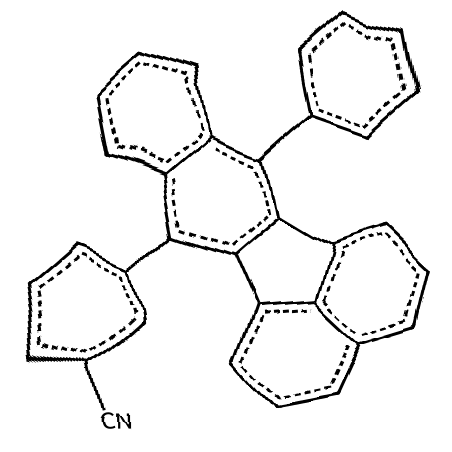 N#Cc1cccc(-c2c3c(c(-c4ccccc4)c4ccccc24)-c2cccc4cccc-3c24)c1